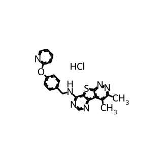 Cc1nnc2sc3c(NCc4ccc(Oc5ccccn5)cc4)ncnc3c2c1C.Cl